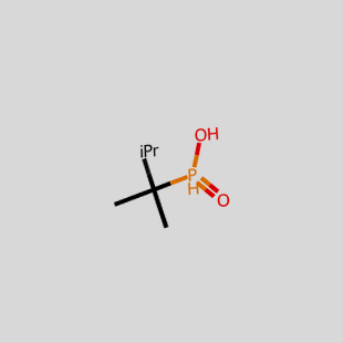 CC(C)C(C)(C)[PH](=O)O